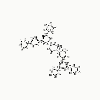 c1ccc(-c2ccc(-c3cc(-c4ccc5c(c4)sc4ccc(-c6nc(-c7ccccc7)cc(-c7ccccc7)n6)cc45)nc(-c4ccccc4)n3)cc2)cc1